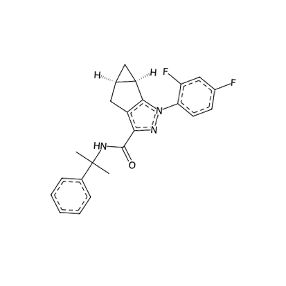 CC(C)(NC(=O)c1nn(-c2ccc(F)cc2F)c2c1C[C@H]1C[C@@H]21)c1ccccc1